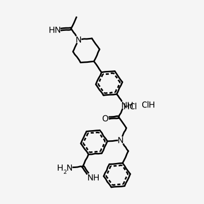 CC(=N)N1CCC(c2ccc(NC(=O)CN(Cc3ccccc3)c3cccc(C(=N)N)c3)cc2)CC1.Cl.Cl